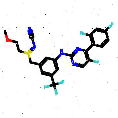 COCCS(Cc1cc(Nc2ncc(F)c(-c3ccc(F)cc3F)n2)cc(C(F)(F)F)c1)=NC#N